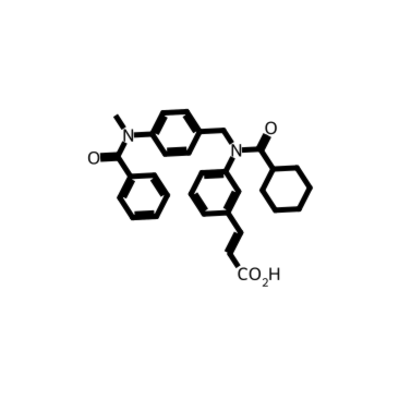 CN(C(=O)c1ccccc1)c1ccc(CN(C(=O)C2CCCCC2)c2cccc(C=CC(=O)O)c2)cc1